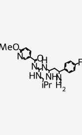 COc1ccc(C(=O)/N=C(/NCC(C)C)NC(N)CC(N)c2ccc(F)cc2)cn1